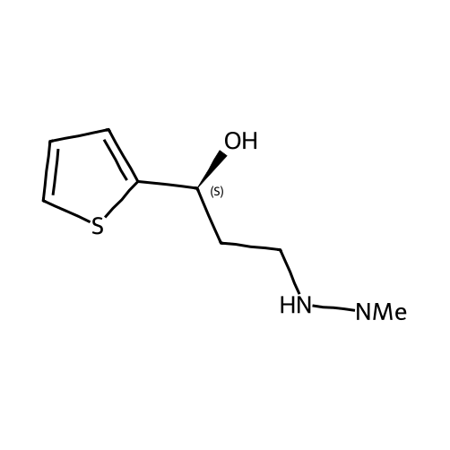 CNNCC[C@H](O)c1cccs1